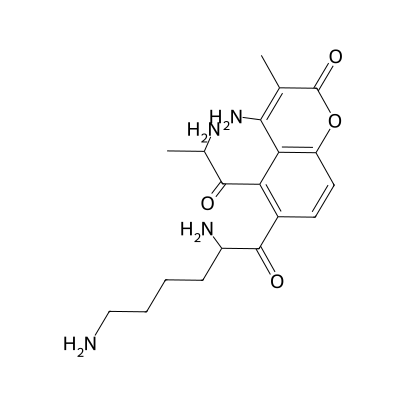 Cc1c(N)c2c(C(=O)C(C)N)c(C(=O)C(N)CCCCN)ccc2oc1=O